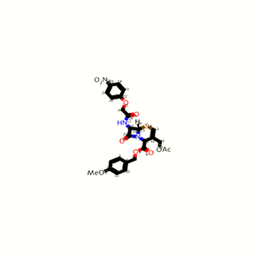 COc1ccc(COC(=O)C2C(COC(C)=O)=CS[C@H]3C(NC(=O)COc4ccc([N+](=O)[O-])cc4)C(=O)N23)cc1